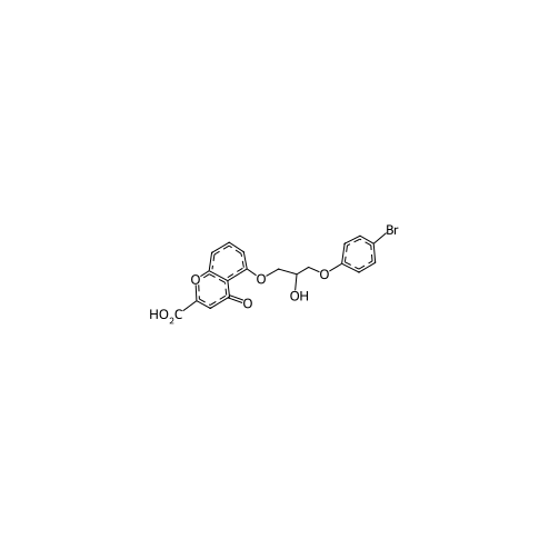 O=C(O)c1cc(=O)c2c(OCC(O)COc3ccc(Br)cc3)cccc2o1